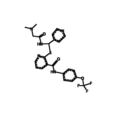 CN(C)CC(=O)NC(Sc1ncccc1C(=O)Nc1ccc(OC(F)(F)F)cc1)c1ccncc1